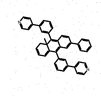 CC12CC=CC=C1C(c1cccc(-c3ccncc3)c1)=c1cc(-c3ccccc3)ccc1=C2c1cccc(-c2ccncc2)c1